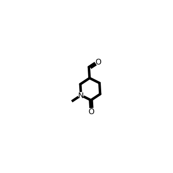 CN1CC(C=O)CCC1=O